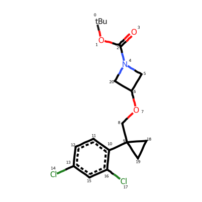 CC(C)(C)OC(=O)N1CC(OCC2(c3ccc(Cl)cc3Cl)CC2)C1